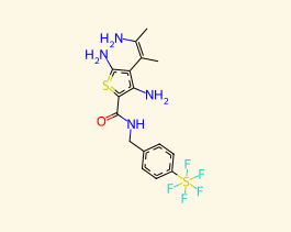 C/C(N)=C(\C)c1c(N)sc(C(=O)NCc2ccc(S(F)(F)(F)(F)F)cc2)c1N